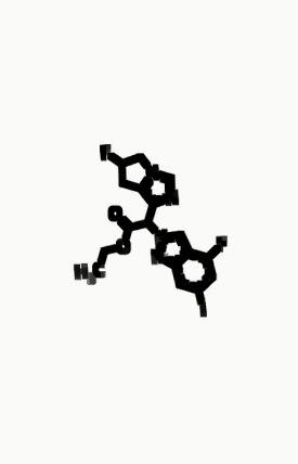 CCOC(=O)C(c1ncn2c1CC(F)C2)n1cc2c(F)cc(I)cc2n1